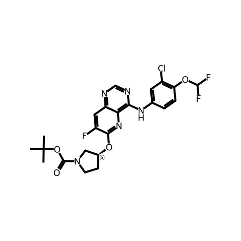 CC(C)(C)OC(=O)N1CC[C@H](Oc2nc3c(Nc4ccc(OC(F)F)c(Cl)c4)ncnc3cc2F)C1